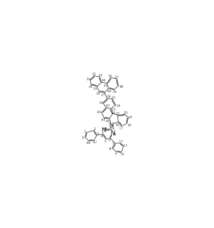 c1ccc(-c2cc(-c3ccccc3)nc(-n3c4ccccc4c4c5ccc(-c6cc7ccccc7c7ccccc67)cc5ccc43)n2)cc1